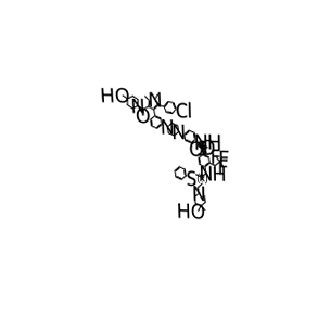 Cc1c(C(=O)N2CCC(O)CC2)c(-c2cccc(N3CCN(c4ccc(NS(=O)(=O)c5ccc(N[C@H](CCN6CCC(C)(O)CC6)CSc6ccccc6)c(CC(F)(F)F)c5)cc4)CC3)c2)c(-c2ccc(Cl)cc2)n1C